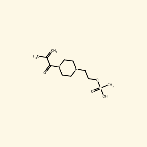 C=C(C)C(=O)N1CCN(CCOP(C)(=O)O)CC1